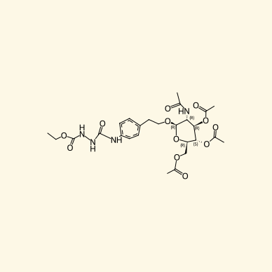 CCOC(=O)NNC(=O)Nc1ccc(CCO[C@@H]2O[C@H](COC(C)=O)[C@@H](OC(C)=O)[C@H](OC(C)=O)[C@H]2NC(C)=O)cc1